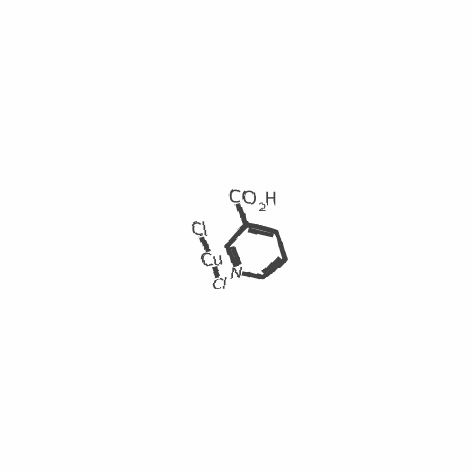 O=C(O)c1cccnc1.[Cl][Cu][Cl]